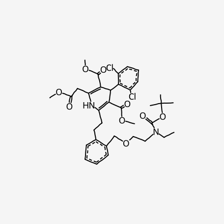 CCN(CCOCc1ccccc1CCC1=C(C(=O)OC)C(c2c(Cl)cccc2Cl)C(C(=O)OC)=C(CC(=O)OC)N1)C(=O)OC(C)(C)C